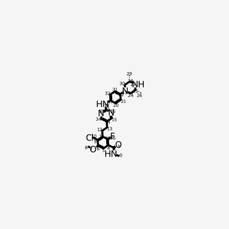 CNC(=O)c1cc(OC)c(Cl)c(CCc2cnc(Nc3ccc(N4C[C@@H](C)N[C@@H](C)C4)cc3)nc2)c1F